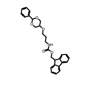 O=C(NCCCOC1COC(c2ccccc2)OC1)OCC1c2ccccc2-c2ccccc21